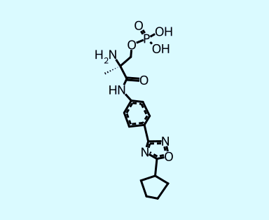 C[C@](N)(COP(=O)(O)O)C(=O)Nc1ccc(-c2noc(C3CCCC3)n2)cc1